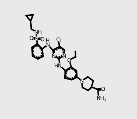 CCOc1cc(N2CCC(C(N)=O)CC2)ccc1Nc1ncc(Cl)c(Nc2ccccc2S(=O)(=O)NCC2CC2)n1